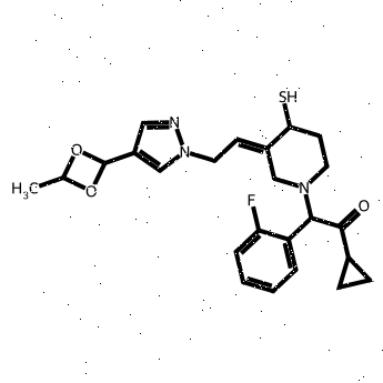 CC1OC(c2cnn(C/C=C3\CN(C(C(=O)C4CC4)c4ccccc4F)CCC3S)c2)O1